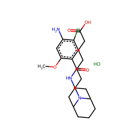 COc1cc(N)c(Cl)cc1C(=O)NC1CC2CCCC(C1)N2CCCCCCC(=O)O.Cl